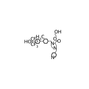 Cc1cc(CN2CCN(Cc3ccncc3)CC2C(=O)OCCO)ccc1-c1ccc(C(O)(C(F)(F)F)C(F)(F)F)cc1